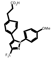 COc1ccc(-n2nc(C(F)(F)F)cc2-c2ccc(CCC(=O)O)cc2)cc1